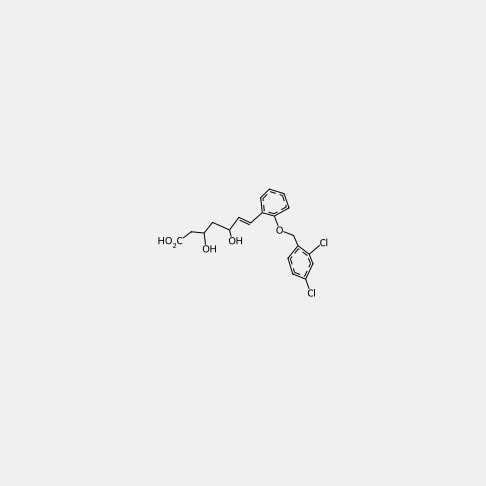 O=C(O)CC(O)CC(O)/C=C/c1ccccc1OCc1ccc(Cl)cc1Cl